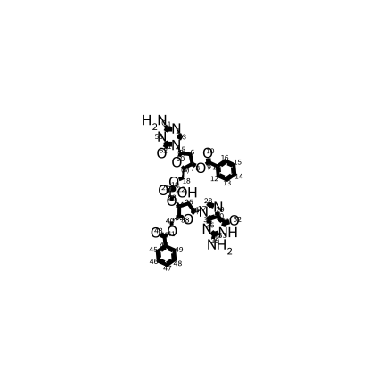 Nc1ncn([C@H]2CC(OC(=O)c3ccccc3)[C@@H](COP(=O)(O)OC3C[C@H](n4cnc5c(=O)[nH]c(N)nc54)O[C@@H]3COC(=O)c3ccccc3)O2)c(=O)n1